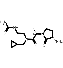 C[C@@H](C(=O)N(CCNC(N)=O)CC1CC1)N1CC[C@H](N)C1=O